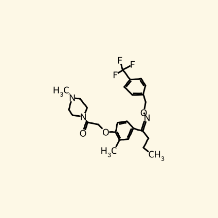 CCCC(=NOCc1ccc(C(F)(F)F)cc1)c1ccc(OCC(=O)N2CCN(C)CC2)c(C)c1